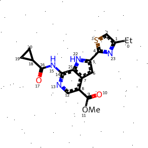 CCc1csc(-c2cc3c(C(=O)OC)cnc(NC(=O)C4CC4)c3[nH]2)n1